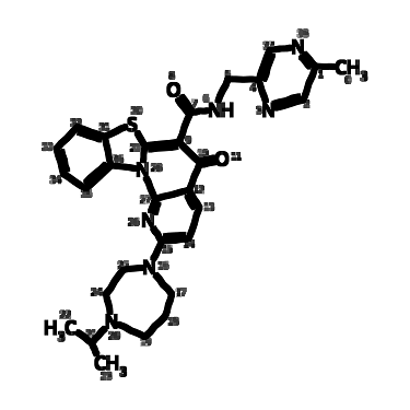 Cc1cnc(CNC(=O)c2c(=O)c3ccc(N4CCCN(C(C)C)CC4)nc3n3c2sc2ccccc23)cn1